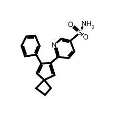 NS(=O)(=O)c1ccc(C2=CC3(C=C2c2ccccc2)CCC3)nc1